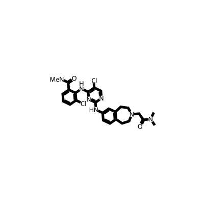 CNC(=O)c1cccc(Cl)c1Nc1nc(Nc2ccc3c(c2)CCN(CC(=O)N(C)C)CC3)ncc1Cl